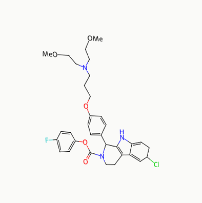 COCCN(CCCOc1ccc(C2c3[nH]c4c(c3CCN2C(=O)Oc2ccc(F)cc2)=CC(Cl)CC=4)cc1)CCOC